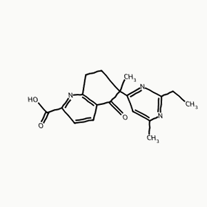 CCc1nc(C)cc(C2(C)CCc3nc(C(=O)O)ccc3C2=O)n1